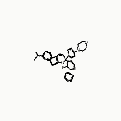 CC(C)c1ccc2c3c(ccc2c1)OC(c1ccc(N2CCOCC2)cc1)(c1ccccc1F)C=C3.c1ccccc1